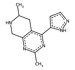 Cc1nc2c(c(-c3ccn[nH]3)n1)CC(C)NC2